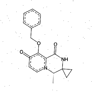 C[C@@H]1n2ccc(=O)c(OCc3ccccc3)c2C(=O)NC12CC2